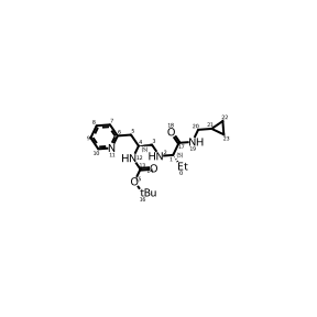 CC[C@H](NC[C@H](Cc1ccccn1)NC(=O)OC(C)(C)C)C(=O)NCC1CC1